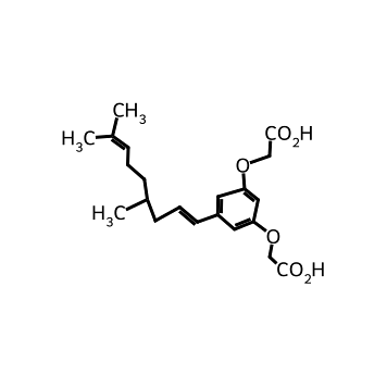 CC(C)=CCCC(C)CC=Cc1cc(OCC(=O)O)cc(OCC(=O)O)c1